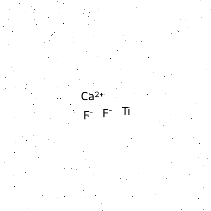 [Ca+2].[F-].[F-].[Ti]